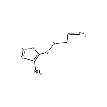 C=CCSSc1snnc1N